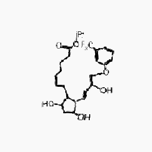 CC(C)OC(=O)CCC/C=C\CC1C(O)CC(O)[C@@H]1/C=C/C(O)COc1cccc(C(F)(F)F)c1